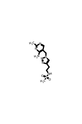 Cc1ncc(Cn2cc(CCNS(C)(=O)=O)nn2)c(N)n1